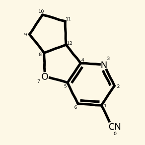 N#Cc1cnc2c(c1)OC1CCCC21